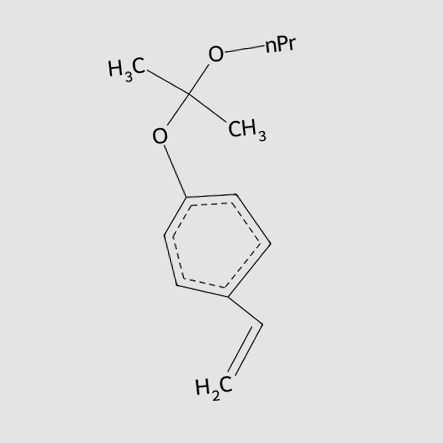 C=Cc1ccc(OC(C)(C)OCCC)cc1